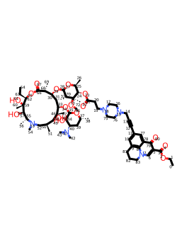 CCOC(=O)c1cn2c3c(cc(C#CCN4CCN(CCC(=O)O[C@H]5[C@H](C)OC(O[C@H]6[C@H](C)[C@@H](OC7O[C@H](C)C[C@H](N(C)C)[C@H]7O)[C@](C)(O)C[C@@H](C)CN(C)[C@H](C)[C@@H](O)[C@](C)(O)[C@@H](CC)OC(=O)[C@@H]6C)C[C@]5(C)OC)CC4)cc3c1=O)CCC2